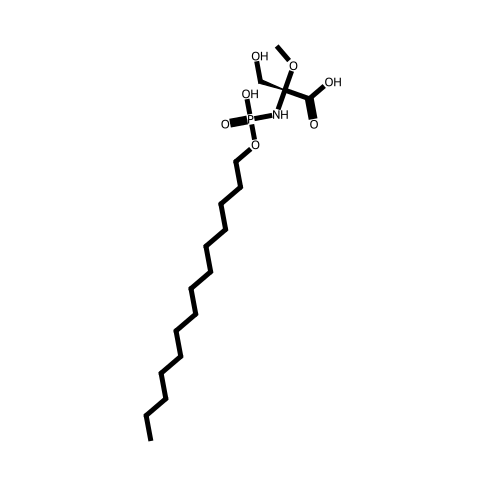 CCCCCCCCCCCCCCOP(=O)(O)N[C@](CO)(OC)C(=O)O